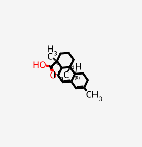 CC1=CC2=CCC3[C@](C)(C(=O)O)CCC[C@]3(C)[C@H]2CC1